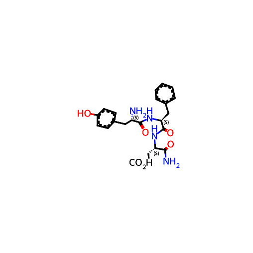 NC(=O)[C@H](CC(=O)O)NC(=O)[C@H](Cc1ccccc1)NC(=O)[C@@H](N)Cc1ccc(O)cc1